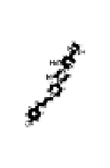 CC[C@H]1CN(c2ncc(-c3ncc[nH]3)cc2O)CCN1C1CCN(CCCCc2ccc(Cl)cc2)CC1